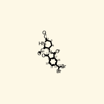 O=C=C1CCC(N2C(=O)c3ccc(C(Br)Br)cc3C2=O)C(=C=O)N1